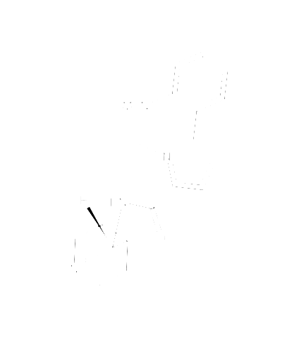 CNc1ccccc1-c1cc(I)c(C(=O)N[C@H]2CN3CCC2CC3)n1C